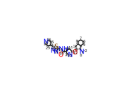 CN(C)[C@@H]1c2ccccc2C[C@@H]1Oc1ccc(C(=O)Nc2nnc(-c3ccncc3)s2)cn1